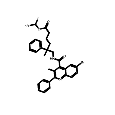 CCCC(F)OC(=O)CCCC(C)(CNC(=O)c1c(C)c(-c2ccccc2)nc2ccc(Br)cc12)c1ccccc1